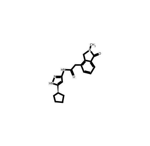 CN1Cc2c(CC(=O)Nc3cc([C@H]4C[CH]CC4)[nH]n3)cccc2C1=O